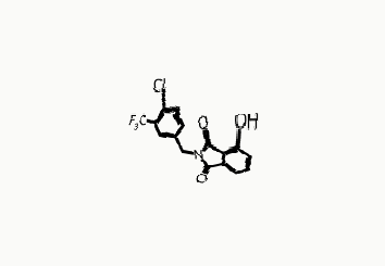 O=C1c2cccc(O)c2C(=O)N1Cc1ccc(Cl)c(C(F)(F)F)c1